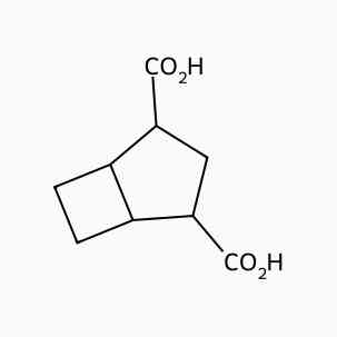 O=C(O)C1CC(C(=O)O)C2CCC12